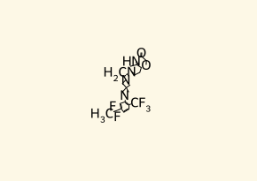 C=C(N1CCC2OCC(=O)NC2C1)N1CC2(C1)CN(c1cc(C(C)(F)F)ccc1C(F)(F)F)C2